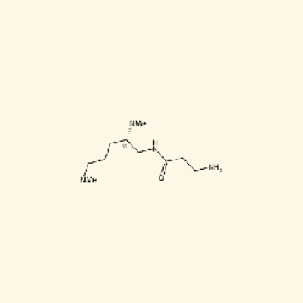 CNCCC[C@@H](CNC(=O)CCN)NC